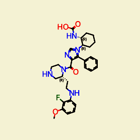 COc1cccc(NCC[C@@H]2CNCCN2C(=O)c2ncn([C@@H]3CCCC[C@H]3NC(=O)O)c2-c2ccccc2)c1F